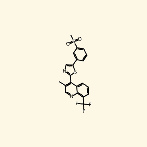 Cc1cnc2c(C(F)(F)F)cccc2c1-c1ncc(-c2cccc(S(C)(=O)=O)c2)s1